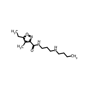 CCCCNCCCNC(=O)c1noc(CC)c1C